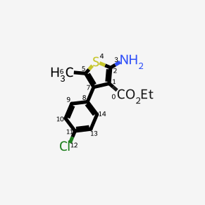 CCOC(=O)c1c(N)sc(C)c1-c1ccc(Cl)cc1